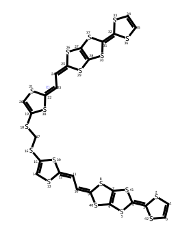 C1=CSC(=C2SC3=C(SC(=CC=C4SC=C(SCSC5=CS/C(=C\C=C6SC7=C(S6)SC(=C6SC=CS6)S7)S5)S4)S3)S2)S1